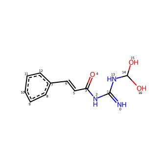 N=C(NC(=O)/C=C/c1ccccc1)NC(O)O